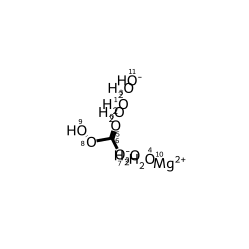 O.O.O.O.O.O=C([O-])OO.[Mg+2].[OH-]